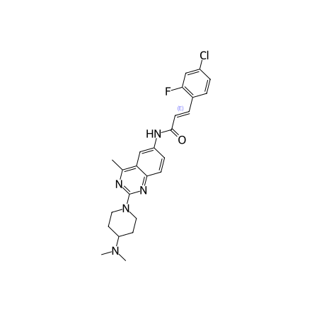 Cc1nc(N2CCC(N(C)C)CC2)nc2ccc(NC(=O)/C=C/c3ccc(Cl)cc3F)cc12